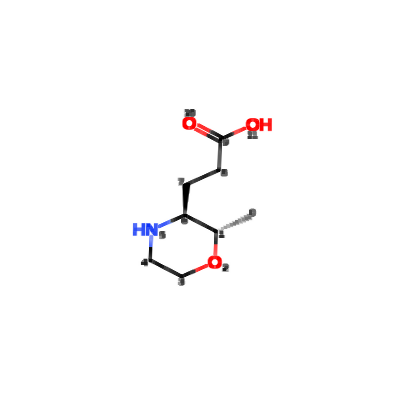 C[C@@H]1OCCN[C@H]1CCC(=O)O